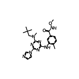 CONC(=O)c1ccc(C)c(Nc2nc(N(C)CC(C)(C)C)nc(-n3ccnc3)n2)c1